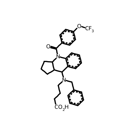 O=C(O)CCCN(Cc1ccccc1)C1c2ccccc2N(C(=O)c2ccc(OC(F)(F)F)cc2)C2CCCC12